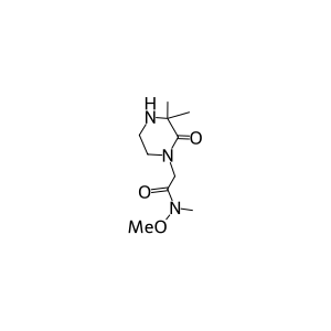 CON(C)C(=O)CN1CCNC(C)(C)C1=O